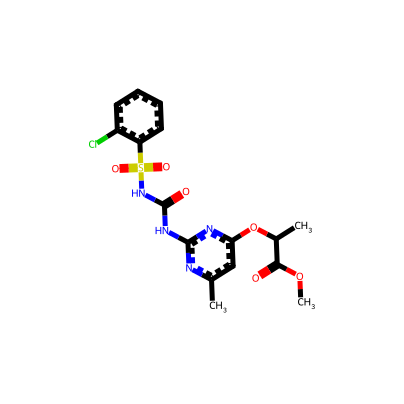 COC(=O)C(C)Oc1cc(C)nc(NC(=O)NS(=O)(=O)c2ccccc2Cl)n1